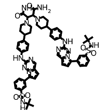 CC(C)(C)NS(=O)(=O)c1cccc(-c2ccc3cnc(Nc4ccc(C5CCN(C(C(N)=O)C(C(N)=O)N6CCC(c7ccc(Nc8ncc9ccc(-c%10cccc(S(=O)(=O)NC(C)(C)C)c%10)n9n8)cc7)CC6)CC5)cc4)nn23)c1